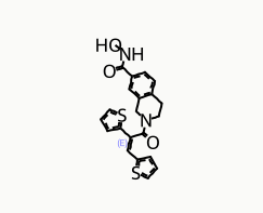 O=C(NO)c1ccc2c(c1)CN(C(=O)/C(=C\c1cccs1)c1cccs1)CC2